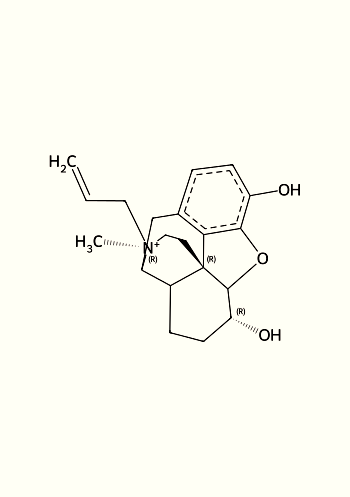 C=CC[N@@+]1(C)CC[C@@]23c4c5ccc(O)c4OC2[C@H](O)CCC3C1C5